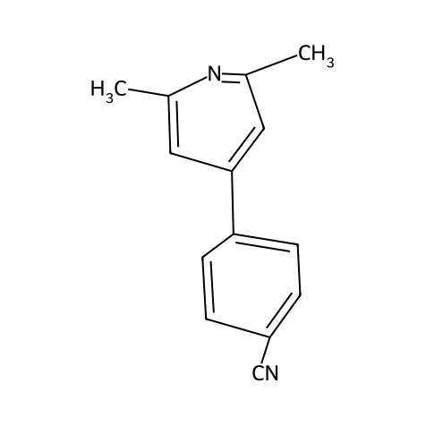 Cc1cc(-c2ccc(C#N)cc2)cc(C)n1